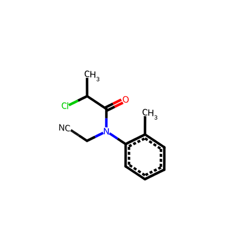 Cc1ccccc1N(CC#N)C(=O)C(C)Cl